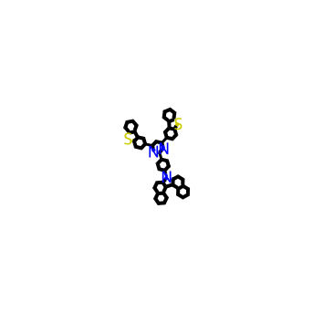 c1ccc2c(c1)ccc1c2c2c3ccccc3ccc2n1-c1ccc(-c2nc(-c3ccc4sc5ccccc5c4c3)cc(-c3ccc4sc5ccccc5c4c3)n2)cc1